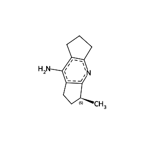 C[C@H]1CCc2c1nc1c(c2N)CCC1